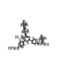 CCCCCC[n+]1ccc(-c2cc[n+](C)c(-c3cc[n+](CCCCCC)cc3)c2)cc1.F[B-](F)(F)F.F[B-](F)(F)F.F[B-](F)(F)F